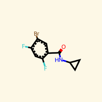 O=C(NC1CC1)c1cc(Br)c(F)cc1F